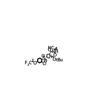 CC(Oc1ccc(S(=O)(=O)[C@@H]2C[C@@H](C(=O)NC3(C#N)CC3)N(C(=O)OC(C)(C)C)C2)c(Cl)c1)C(F)(F)F